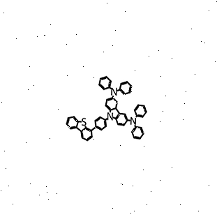 C1=C(N(c2ccccc2)c2ccccc2)CC2C(=C1)N(c1ccc(-c3cccc4c3sc3ccccc34)cc1)c1ccc(N(c3ccccc3)c3ccccc3)cc12